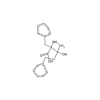 CC(O)(CCc1ccccc1)C(N)(Cc1ccccc1)C(=O)O